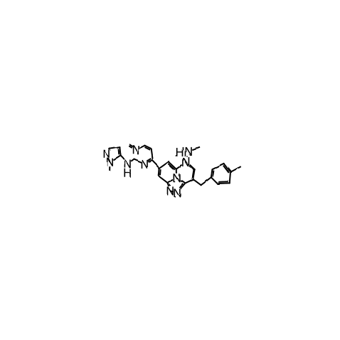 C=N/C=C\C(=N/CNc1ccnn1C)c1cc2n3c(nnc3c1)C(Cc1ccc(C)cc1)CN2NC